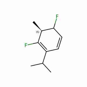 CC(C)C1=C(F)[C@@H](C)C(F)C=C1